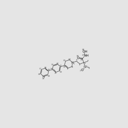 C[S+]([O-])C(C)(CCN1CC=C(c2ccc(-c3cccnc3)cc2)CC1)C(=O)NO